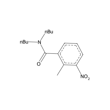 CCCCN(CCCC)C(=O)c1cccc([N+](=O)[O-])c1C